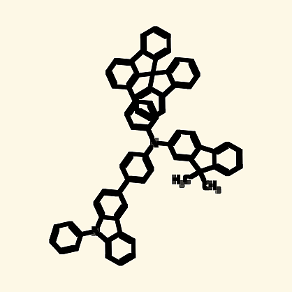 CC1(C)c2ccccc2-c2ccc(N(c3ccc(-c4ccc5c(c4)c4ccccc4n5-c4ccccc4)cc3)c3ccc(-c4cccc5c4C4(c6ccccc6-c6ccccc64)c4ccccc4-5)cc3)cc21